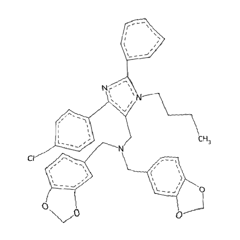 CCCCn1c(-c2ccccc2)nc(-c2ccc(Cl)cc2)c1CN(Cc1ccc2c(c1)OCO2)Cc1ccc2c(c1)OCO2